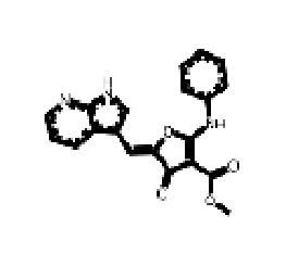 COC(=O)C1=C(Nc2ccccc2)OC(=Cc2c[nH]c3ncccc23)C1=O